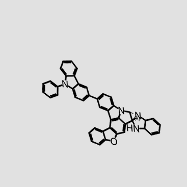 C1=CC2NC34c5cc6oc7ccccc7c6c6c7cc(-c8ccc9c(c8)c8ccccc8n9-c8ccccc8)ccc7n(c56)C3[N@]4C2C=C1